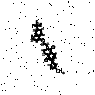 Cc1cn(-c2ccc3n(c2=O)CCN(CCOc2ccnc4cc(C(F)(F)F)ccc24)C3=O)cn1